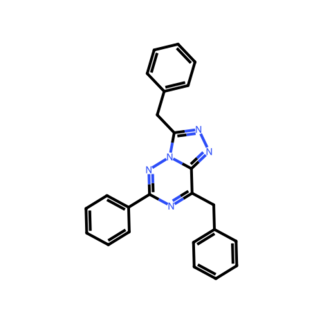 c1ccc(Cc2nc(-c3ccccc3)nn3c(Cc4ccccc4)nnc23)cc1